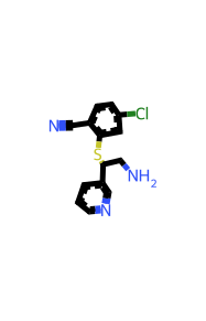 N#Cc1ccc(Cl)cc1SC(CN)c1cccnc1